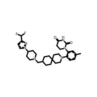 Cc1ccc(N2CCC3(CCC(CN4CCC(n5ccc(C(F)F)n5)CC4)CC3)CC2)c(N2CCC(=O)NC2=O)c1